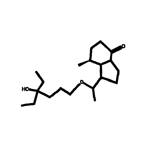 CCC(O)(CC)CCCOC(C)C1CCC2C(=O)CC[C@H](C)C21